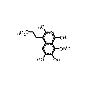 COc1c(O)c(O)cc2c(CCC(=O)O)c(O)nc(C)c12